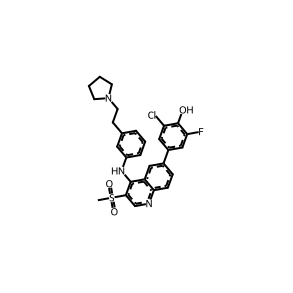 CS(=O)(=O)c1cnc2ccc(-c3cc(F)c(O)c(Cl)c3)cc2c1Nc1cccc(CCN2CCCC2)c1